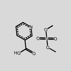 COS(=O)(=O)OC.O=C(O)c1cccnc1